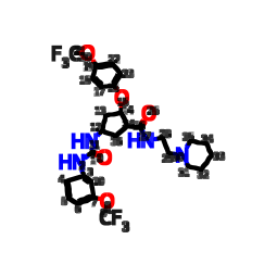 O=C(Nc1cccc(OC(F)(F)F)c1)NC1CC(Oc2ccc(OC(F)(F)F)cc2)C(C(=O)NCCN2CCCCC2)C1